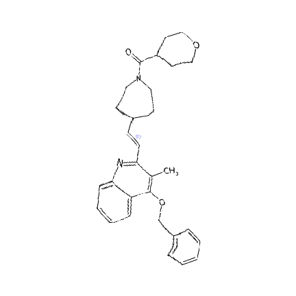 Cc1c(/C=C/C2CCN(C(=O)C3CCOCC3)CC2)nc2ccccc2c1OCc1ccccc1